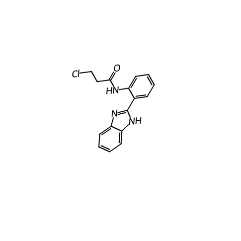 O=C(CCCl)Nc1ccccc1-c1nc2ccccc2[nH]1